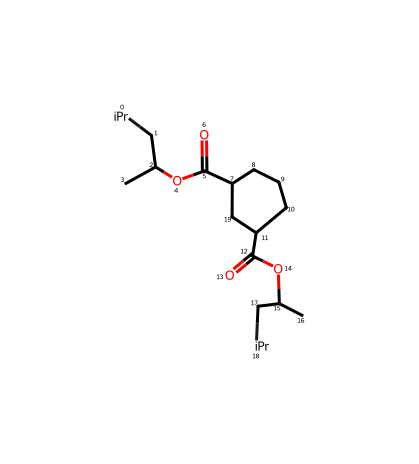 CC(C)CC(C)OC(=O)C1CCCC(C(=O)OC(C)CC(C)C)C1